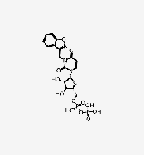 O=c1ccn([C@@H]2O[C@H](COP(=O)(O)OP(=O)(O)O)C(O)[C@@H]2O)c(=O)n1Cc1noc2ccccc12